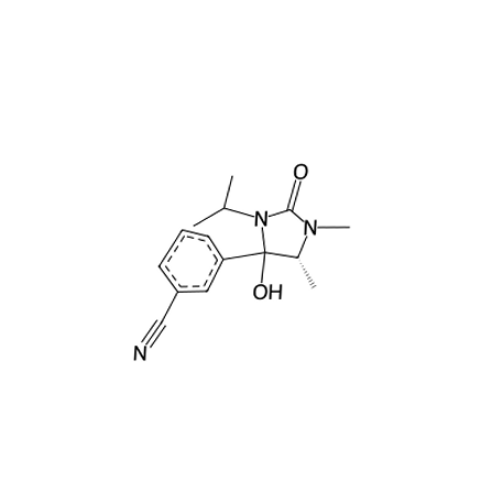 CC(C)N1C(=O)N(C)[C@H](C)C1(O)c1cccc(C#N)c1